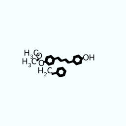 C=Cc1ccccc1.COC(C)Oc1ccc(C=CC=Cc2ccc(O)cc2)cc1